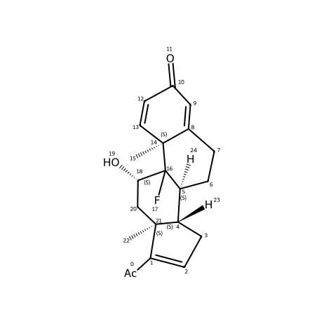 CC(=O)C1=CC[C@H]2[C@@H]3CCC4=CC(=O)C=C[C@]4(C)C3(F)[C@@H](O)C[C@]12C